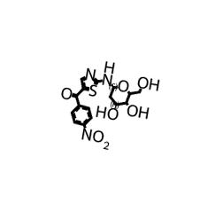 O=C(c1ccc([N+](=O)[O-])cc1)c1cnc(N[C@@H]2C[C@@H](O)C(O)C(CO)O2)s1